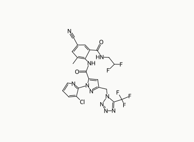 Cc1cc(C#N)cc(C(=O)NCC(F)F)c1NC(=O)c1cc(Cn2nnnc2C(F)(F)F)nn1-c1ncccc1Cl